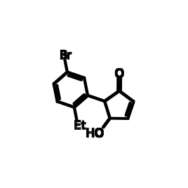 CCc1ccc(Br)cc1C1C(=O)C=CC1O